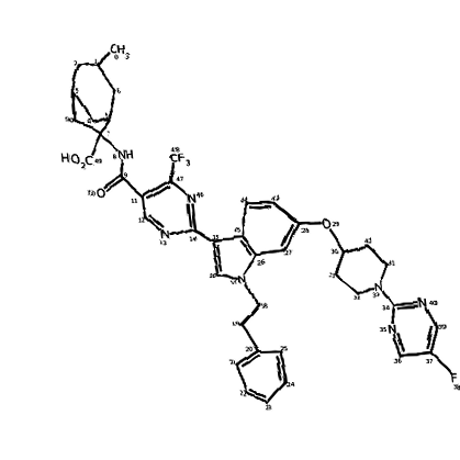 CC1CC2CC(C1)C(NC(=O)c1cnc(-c3cn(CCc4ccccc4)c4cc(OC5CCN(c6ncc(F)cn6)CC5)ccc34)nc1C(F)(F)F)(C(=O)O)C2